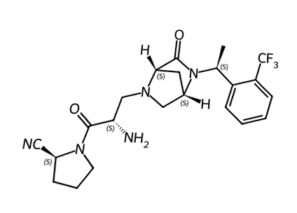 C[C@@H](c1ccccc1C(F)(F)F)N1C(=O)[C@@H]2C[C@H]1CN2C[C@H](N)C(=O)N1CCC[C@H]1C#N